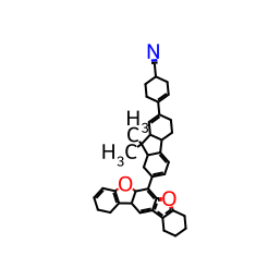 CC1(C)C2CC(C3=c4oc5c(c4=CC4C6=C(C=CCC6)OC34)CCCC5)=CC=C2C2CCC(C3=CCC(C#N)CC3)=CC21